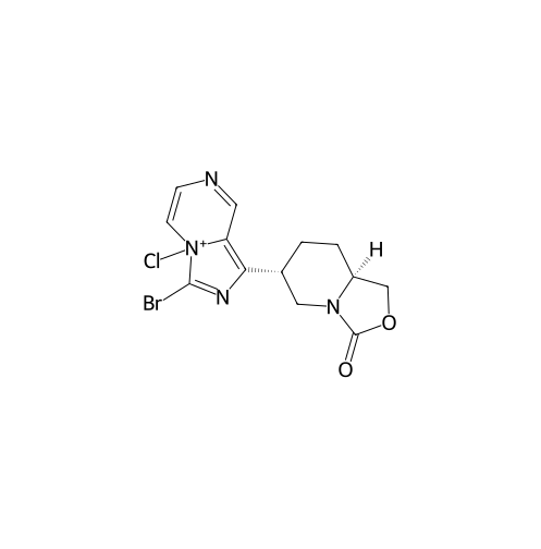 O=C1OC[C@@H]2CC[C@@H](C3=C4C=NC=C[N+]4(Cl)C(Br)=N3)CN12